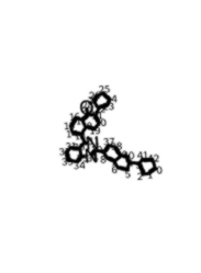 c1ccc(-c2ccc3cc(-c4nc(-c5cccc6c5ccc5c7ccccc7oc65)c5ccccc5n4)ccc3c2)cc1